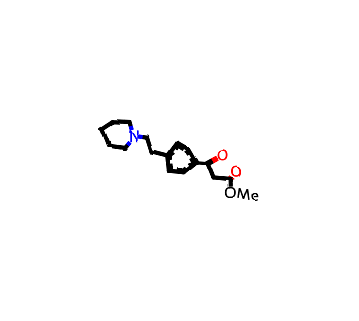 COC(=O)CC(=O)c1ccc(CCN2CCCCC2)cc1